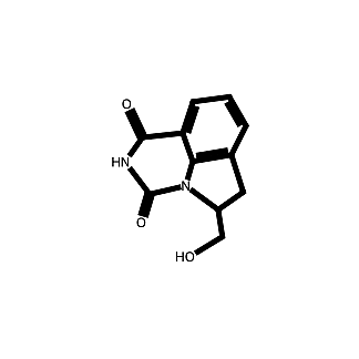 O=c1[nH]c(=O)n2c3c(cccc13)CC2CO